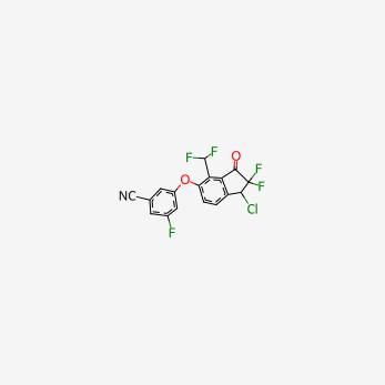 N#Cc1cc(F)cc(Oc2ccc3c(c2C(F)F)C(=O)C(F)(F)C3Cl)c1